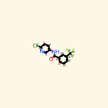 O=C(Nc1ccc(Cl)nc1)c1cccc(C(F)(F)F)c1